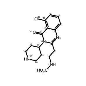 O=C(O)NCCc1nc2cccc(Cl)c2c(=O)n1C1CCNCC1